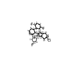 Fc1ccc(F)c(-c2ccnc(N3CC[C@H](F)C3)c2-c2nc3cnc(Cl)cc3[nH]2)c1